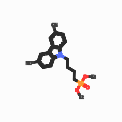 CCOP(=O)(CCCCn1c2ccc(C#N)cc2c2cc(C#N)ccc21)OCC